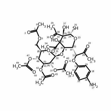 CC(=O)OC[C@H]1O[C@@H](O[C@@H]2[C@@H](C(Oc3ccc(N)cc3)C(C)=O)O[C@@H](S)[C@@](O)(C(C)=O)[C@]2(O)C(C)=O)[C@H](OC(C)=O)[C@@H](OC(C)=O)[C@@H]1OC(C)=O